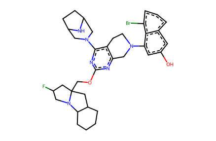 Oc1cc(N2CCc3c(nc(OCC45CC(F)CN4C4CCCCC4C5)nc3N3CC4CCC(C3)N4)C2)c2c(Br)cccc2c1